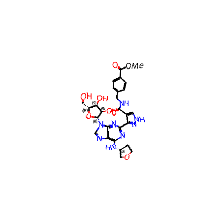 COC(=O)c1ccc(CNC(=O)c2c[nH]nc2-c2nc(N[C@@H]3CCOC3)c3ncn([C@@H]4O[C@H](CO)[C@@H](O)[C@H]4O)c3n2)cc1